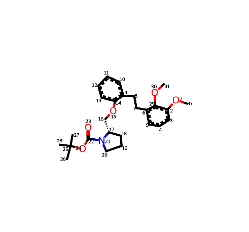 COc1cccc(CCc2ccccc2OC[C@@H]2CCCN2C(=O)OC(C)(C)C)c1OC